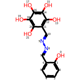 Oc1ccccc1C=NN=Cc1c(O)c(O)c(O)c(O)c1O